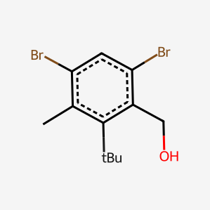 Cc1c(Br)cc(Br)c(CO)c1C(C)(C)C